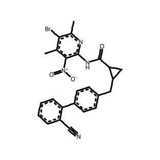 Cc1nc(NC(=O)C2CC2Cc2ccc(-c3ccccc3C#N)cc2)c([N+](=O)[O-])c(C)c1Br